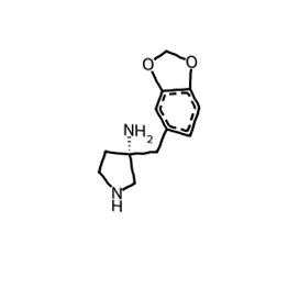 N[C@@]1(Cc2ccc3c(c2)OCO3)CCNC1